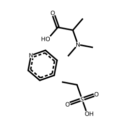 CC(C(=O)O)N(C)C.CCS(=O)(=O)O.c1ccncc1